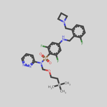 C[Si](C)(C)CCOCN(c1cccnn1)S(=O)(=O)c1c(F)cc(NCc2c(F)cccc2CN2CCC2)cc1F